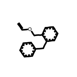 C=COCc1ccccc1Cc1ccccc1